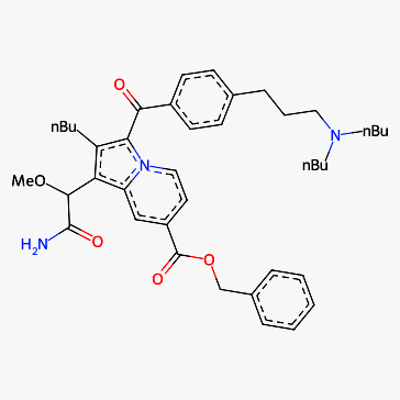 CCCCc1c(C(OC)C(N)=O)c2cc(C(=O)OCc3ccccc3)ccn2c1C(=O)c1ccc(CCCN(CCCC)CCCC)cc1